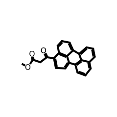 COC(=O)CC(=O)c1ccc2c3cccc4cccc(c5cccc1c52)c43